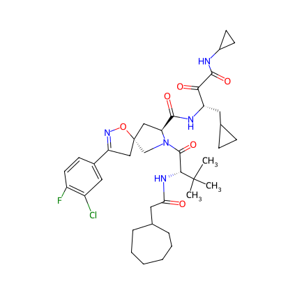 CC(C)(C)[C@H](NC(=O)CC1CCCCCC1)C(=O)N1C[C@@]2(CC(c3ccc(F)c(Cl)c3)=NO2)C[C@H]1C(=O)N[C@@H](CC1CC1)C(=O)C(=O)NC1CC1